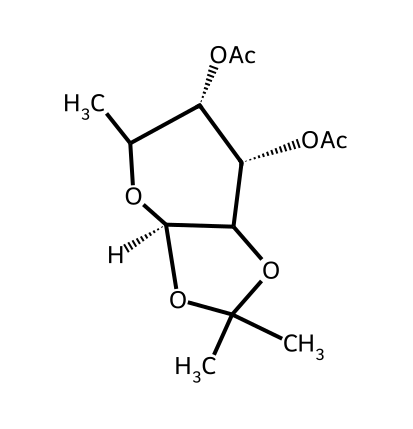 CC(=O)O[C@@H]1C2OC(C)(C)O[C@H]2OC(C)[C@@H]1OC(C)=O